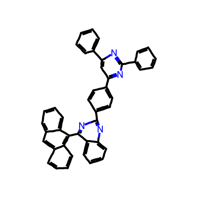 c1ccc(-c2cc(-c3ccc(-c4nc(-c5c6ccccc6cc6ccccc56)c5ccccc5n4)cc3)nc(-c3ccccc3)n2)cc1